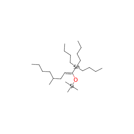 CCCCC(C)C/C=[C](\O[Si](C)(C)C)[Sn]([CH2]CCC)([CH2]CCC)[CH2]CCC